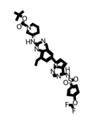 CCc1cc(-c2ccc3c(NS(=O)(=O)c4ccc(OC(F)F)cc4)ncnn23)cc2cnc(N[C@H]3CCCN(C(=O)OC(C)(C)C)C3)nc12